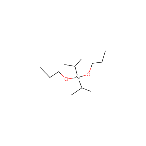 CCCO[Si](OCCC)(C(C)C)C(C)C